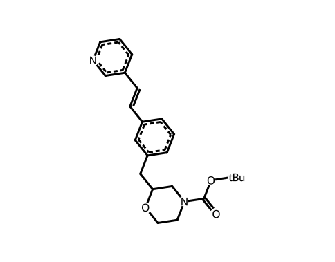 CC(C)(C)OC(=O)N1CCOC(Cc2cccc(C=Cc3cccnc3)c2)C1